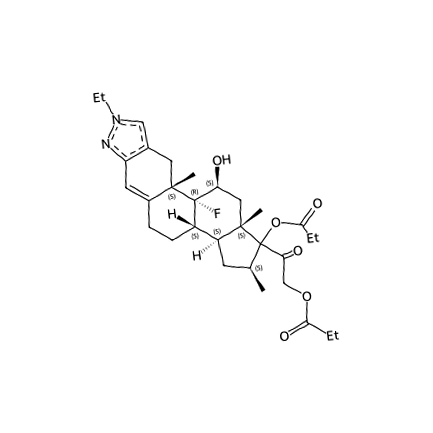 CCC(=O)OCC(=O)C1(OC(=O)CC)[C@@H](C)C[C@H]2[C@@H]3CCC4=Cc5nn(CC)cc5C[C@]4(C)[C@@]3(F)[C@@H](O)C[C@@]21C